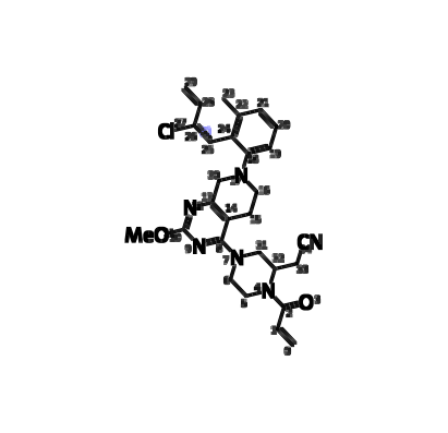 C=CC(=O)N1CCN(c2nc(OC)nc3c2CCN(c2cccc(C)c2/C=C(/Cl)C=C)C3)CC1CC#N